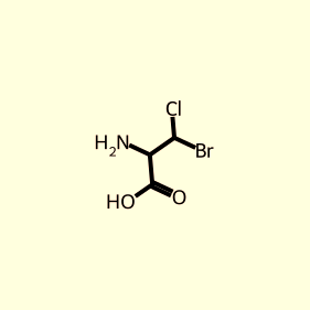 NC(C(=O)O)C(Cl)Br